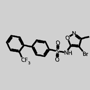 Cc1noc(NS(=O)(=O)c2ccc(-c3ccccc3C(F)(F)F)cc2)c1Br